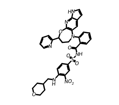 O=C(NS(=O)(=O)c1ccc(NCC2CCOCC2)c([N+](=O)[O-])c1)c1ccccc1N1CCC(c2ccccn2)Oc2nc3[nH]ccc3cc21